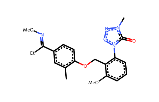 CC/C(=N\OC)c1ccc(OCc2c(OC)cccc2-n2nnn(C)c2=O)c(C)c1